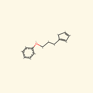 C1=CCC(CCCOc2ccccc2)=C1